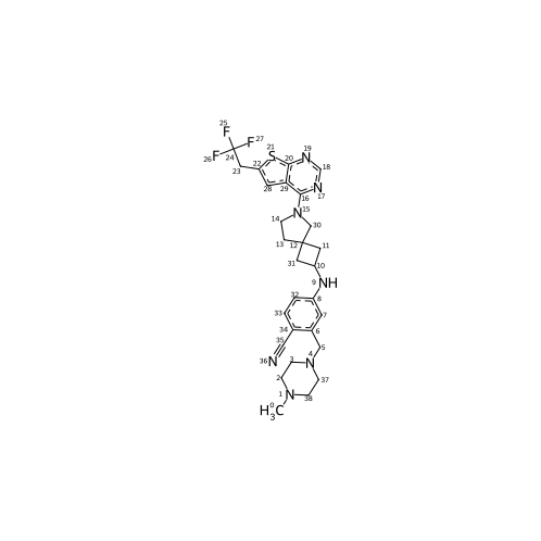 CN1CCN(Cc2cc(NC3CC4(CCN(c5ncnc6sc(CC(F)(F)F)cc56)C4)C3)ccc2C#N)CC1